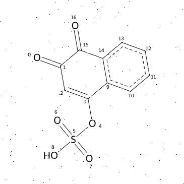 O=C1C=C(OS(=O)(=O)O)c2ccccc2C1=O